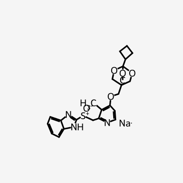 Cc1c(OCC23COC(C4CCC4)(OC2)OC3)ccnc1C[S+]([O-])c1nc2ccccc2[nH]1.[Na]